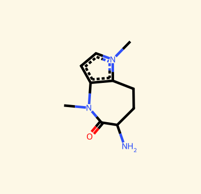 CN1C(=O)C(N)CCc2c1ccn2C